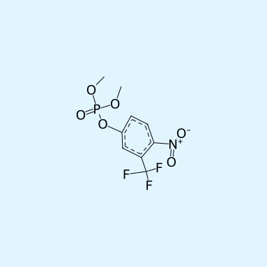 COP(=O)(OC)Oc1ccc([N+](=O)[O-])c(C(F)(F)F)c1